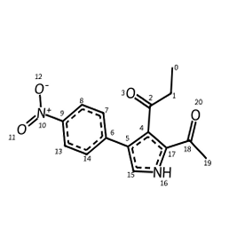 CCC(=O)c1c(-c2ccc([N+](=O)[O-])cc2)c[nH]c1C(C)=O